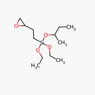 CCO[Si](CCC1CO1)(OCC)OC(C)CC